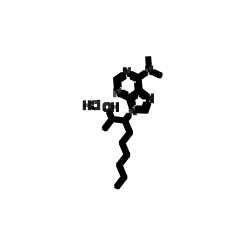 CCCCCCC(C(C)O)n1cnc2c(N(C)C)ncnc21.Cl